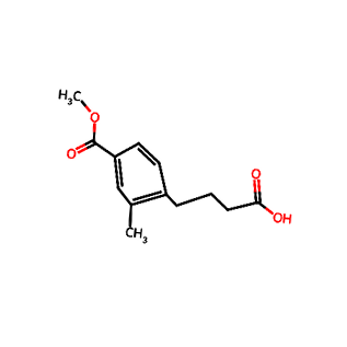 COC(=O)c1ccc(CCCC(=O)O)c(C)c1